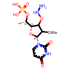 COC1C(ONN)[C@@H]([C@H](C)OP(=O)(O)O)O[C@H]1n1ccc(=O)[nH]c1=O